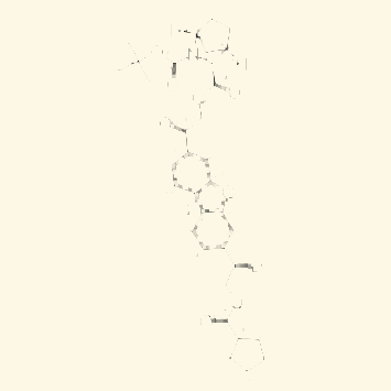 CC(C)(C)OC(=O)N1[C@@H]2CC[C@@H](C2)[C@H]1C(=O)OCC(=O)c1ccc2c(c1)oc1cc(C(=O)COC(=O)C3CCCC3)ccc12